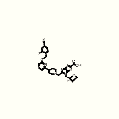 N#Cc1ccc(COc2cccc(C3=CCN(Cc4nc5sc(C(=O)O)nc5n4C[C@@H]4CCO4)CC3)n2)c(F)c1